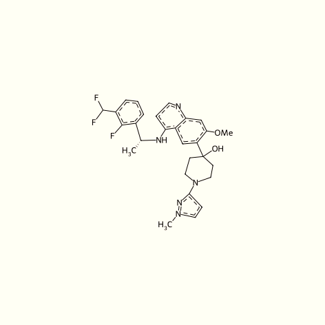 COc1cc2nccc(N[C@H](C)c3cccc(C(F)F)c3F)c2cc1C1(O)CCN(c2ccn(C)n2)CC1